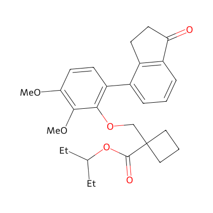 CCC(CC)OC(=O)C1(COc2c(-c3cccc4c3CCC4=O)ccc(OC)c2OC)CCC1